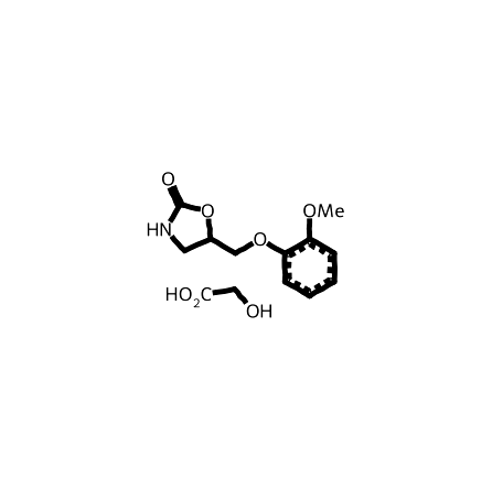 COc1ccccc1OCC1CNC(=O)O1.O=C(O)CO